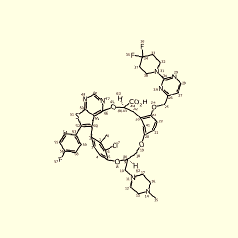 Cc1c2ccc(c1Cl)O[C@H](CN1CCN(C)CC1)COc1ccc(OCc3ccnc(N4CCC(F)(F)CC4)n3)c(c1)C[C@H](C(=O)O)Oc1ncnc3sc(-c4ccc(F)cc4)c-2c13